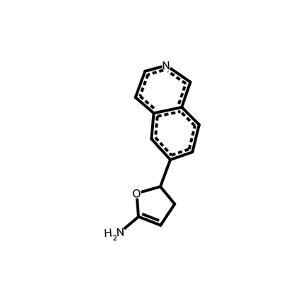 NC1=CCC(c2ccc3cnccc3c2)O1